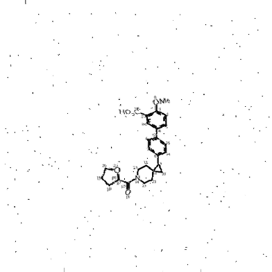 COc1ccc(-c2ccc(C3CC34CCN(C(=O)[C@H]3CCCO3)CC4)cc2)cc1C(=O)O